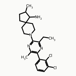 CCc1nc(-c2cccc(Cl)c2Cl)c(C)nc1N1CCC2(CCC(C)C2N)CC1